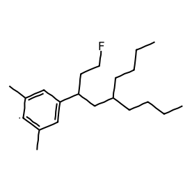 CCCCC(CCCC)CC(CCF)c1cc(C)[c]c(C)c1